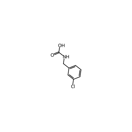 O=C(O)NCc1cccc(Cl)c1